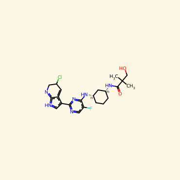 CC(C)(CO)C(=O)N[C@@H]1CCC[C@H](Nc2nc(-c3c[nH]c4c3=CC(Cl)CN=4)ncc2F)C1